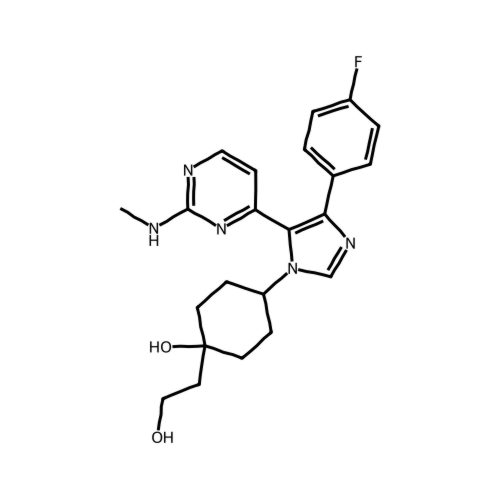 CNc1nccc(-c2c(-c3ccc(F)cc3)ncn2C2CCC(O)(CCO)CC2)n1